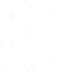 [Cl][Ti+]([Cl])[Cl].c1cc[cH-]c1